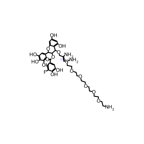 NCCOCCOCCOCCOCCOCCN(N)/C=C(\N)COC1c2c(O)cc(O)cc2OC(c2cc(O)c(O)c(O)c2)C1OC(=O)c1cc(O)c(O)c(F)c1